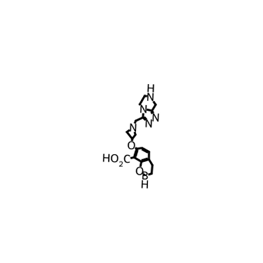 O=C(O)c1c(OC2CN(Cc3nnc4n3CCNC4)C2)ccc2c1OBCC2